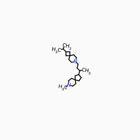 CC(C)C1CC2(CCN(CCC(C)C3CCC4(CCN(C)CC4)C3)CC2)C1